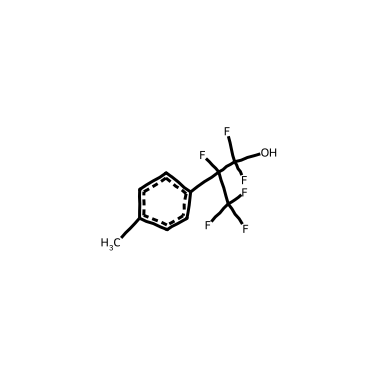 Cc1ccc(C(F)(C(O)(F)F)C(F)(F)F)cc1